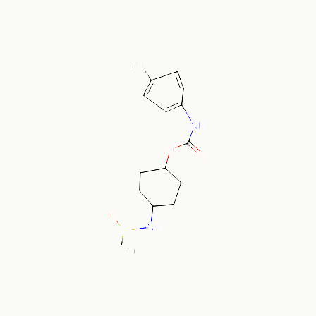 CCCCc1ccc(NC(=O)OC2CCC(N[S+]([O-])C(C)(C)C)CC2)cc1